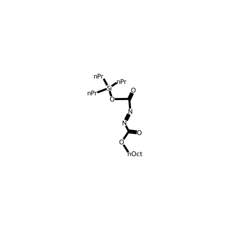 CCCCCCCCOC(=O)/N=N/C(=O)O[Si](CCC)(CCC)CCC